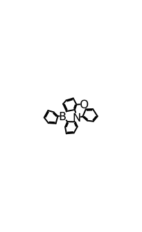 c1ccc(B2c3ccccc3N3c4ccccc4Oc4cccc2c43)cc1